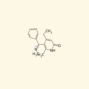 CCc1cc(=O)[nH]c(C)c1/C(=N\C)c1ccccc1